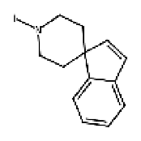 IN1CCC2(C=Cc3ccccc32)CC1